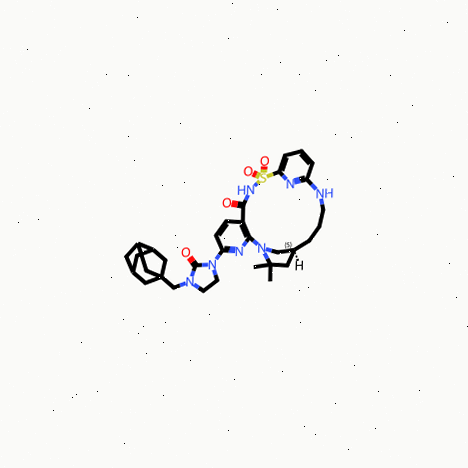 CC1(C)C[C@@H]2CCCNc3cccc(n3)S(=O)(=O)NC(=O)c3ccc(N4CCN(CC56CC7CC(C5)C(C7)C6)C4=O)nc3N1C2